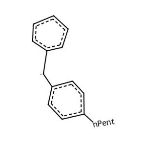 CCCCCc1ccc([CH]c2ccccc2)cc1